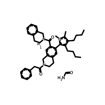 CCCCc1c(CCCC)c(-c2cc3c(cc2C(=O)N2Cc4ccccc4C[C@H]2C)CN(C(=O)Cc2ccccc2)CC3)n(C)c1C.NC=O